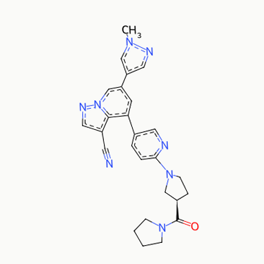 Cn1cc(-c2cc(-c3ccc(N4CC[C@@H](C(=O)N5CCCC5)C4)nc3)c3c(C#N)cnn3c2)cn1